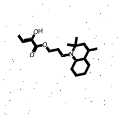 CC=C(O)C(=O)OCCCN1C2CCCCC2C(C)CC1(C)C